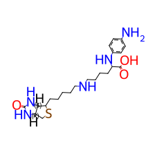 Nc1ccc(NC(CCCCNCCCCCC2SC[C@@H]3NC(=O)N[C@H]23)C(=O)O)cc1